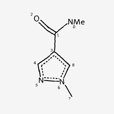 CNC(=O)c1cnn(C)c1